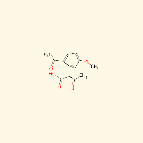 CC(=O)CC(=O)O.COc1ccc(C(C)=O)cc1